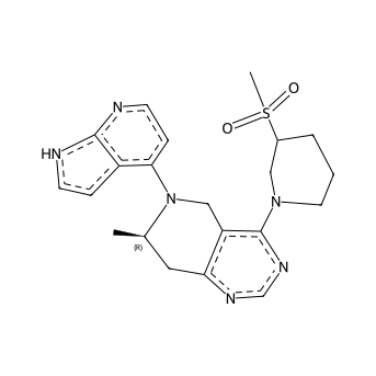 C[C@@H]1Cc2ncnc(N3CCCC(S(C)(=O)=O)C3)c2CN1c1ccnc2[nH]ccc12